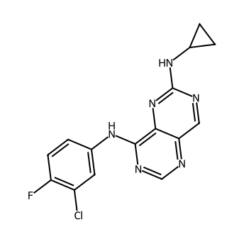 Fc1ccc(Nc2ncnc3cnc(NC4CC4)nc23)cc1Cl